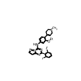 CCOc1cc(Nc2nc(-c3c(F)cccc3F)nc3ccnn23)ccc1C1=CCN(C)CC1